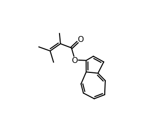 CC(C)=C(C)C(=O)Oc1ccc2cccccc1-2